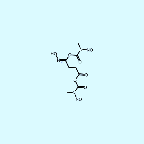 CN(N=O)C(=O)OC(=O)CC/C(=N/O)OC(=O)N(C)N=O